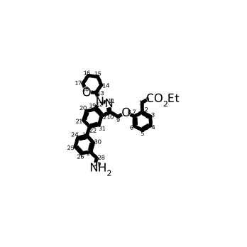 CCOC(=O)Cc1ccccc1OCc1nn(C2CCCCO2)c2ccc(-c3cccc(CN)c3)cc12